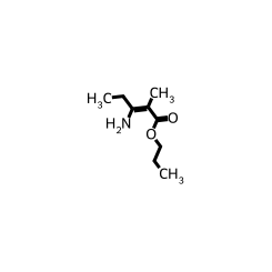 CCCOC(=O)C(C)=C(N)CC